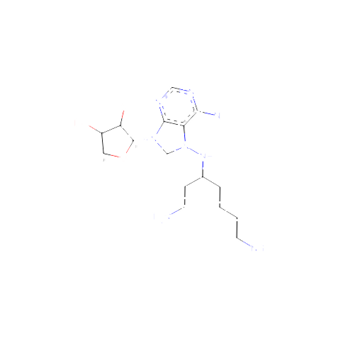 C[C@H]1O[C@@H](N2CN(NC(CCN)CCCCN)c3c(N)ncnc32)C(O)C1O